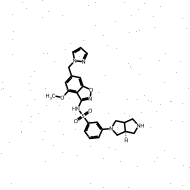 COc1cc(Cn2cccn2)cc2onc(NS(=O)(=O)c3cccc(N4CC5CNC[C@H]5C4)c3)c12